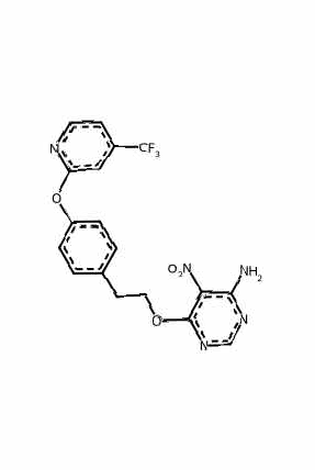 Nc1ncnc(OCCc2ccc(Oc3cc(C(F)(F)F)ccn3)cc2)c1[N+](=O)[O-]